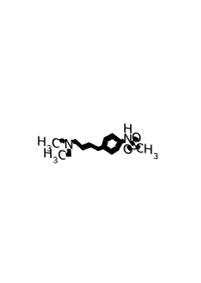 CCN(CC)C/C=C/Cc1ccc(NS(C)(=O)=O)cc1